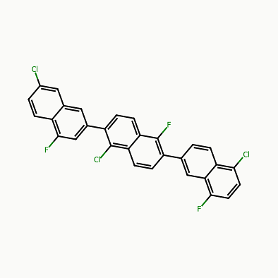 Fc1cc(-c2ccc3c(F)c(-c4ccc5c(Cl)ccc(F)c5c4)ccc3c2Cl)cc2cc(Cl)ccc12